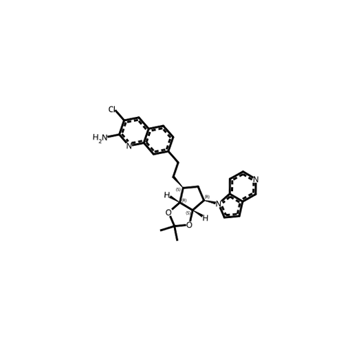 CC1(C)O[C@@H]2[C@@H](CCc3ccc4cc(Cl)c(N)nc4c3)C[C@@H](n3ccc4cnccc43)[C@@H]2O1